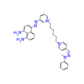 CN(/N=C\c1cc[n+](CCCCCC[n+]2cccc(/N=N/c3ccc(N)c4c(N)cccc34)c2)cc1)c1ccccc1